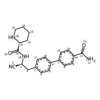 N#C[C@H](Cc1ccc(-c2ccc(C(N)=O)cc2)cc1)NC(=O)[C@@H]1CCCCN1